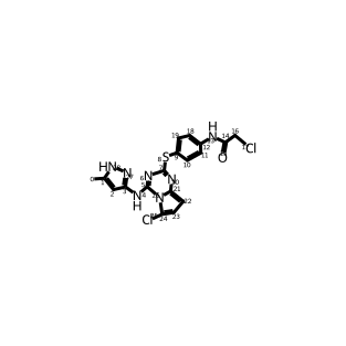 Cc1cc(Nc2nc(Sc3ccc(NC(=O)CCl)cc3)nc3ccc(Cl)n23)n[nH]1